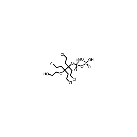 O=P(O)(O)OP(=O)(O)OC(CCCl)(CCCl)C(CCCl)(CCCl)OCCO